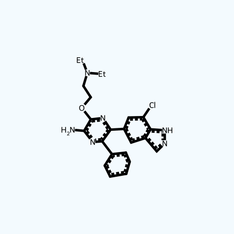 CCN(CC)CCOc1nc(-c2cc(Cl)c3[nH]ncc3c2)c(-c2ccccc2)nc1N